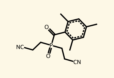 Cc1cc(C)c(C(=O)P(=O)(CCC#N)CCC#N)c(C)c1